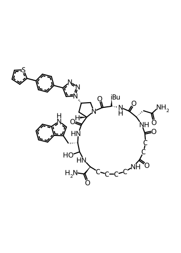 CC[C@H](C)[C@@H]1NC(=O)[C@H](CC(N)=O)NC(=O)CCC(=O)NCCCC[C@@H](C(N)=O)NC(O)[C@H](Cc2c[nH]c3ccccc23)NC(=O)[C@@H]2C[C@H](n3cc(-c4ccc(-c5cccs5)cc4)nn3)CN2C1=O